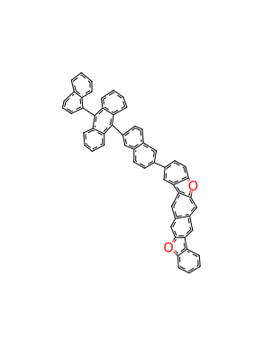 c1ccc2c(-c3c4ccccc4c(-c4ccc5cc(-c6ccc7oc8cc9cc%10c(cc9cc8c7c6)oc6ccccc6%10)ccc5c4)c4ccccc34)cccc2c1